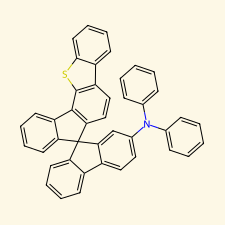 c1ccc(N(c2ccccc2)c2ccc3c(c2)C2(c4ccccc4-3)c3ccccc3-c3c2ccc2c3sc3ccccc32)cc1